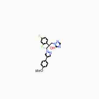 COc1ccc(-c2cnn([C@H](C)[C@](O)(Cn3cncn3)c3ccc(F)cc3F)c2)cc1